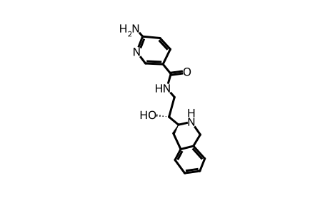 Nc1ccc(C(=O)NC[C@@H](O)[C@@H]2Cc3ccccc3CN2)cn1